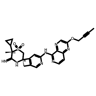 CC#CCOc1cnc2c(Nc3cc4c(cn3)C[C@]43CS(=O)(=O)[C@@](C)(C4CC4)C(=N)N3)nccc2n1